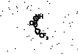 O=C(OCc1ccc(C(F)(F)F)cc1)N1CCNCC1